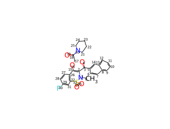 CN1C(C(=O)c2ccc3ccccc3c2)=C(OCC(=O)N2CCCCC2)c2ccc(F)cc2S1(=O)=O